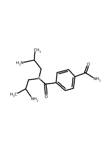 CC(N)CN(CC(C)N)C(=O)c1ccc(C(N)=O)cc1